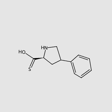 OC(=S)[C@@H]1CC(c2ccccc2)CN1